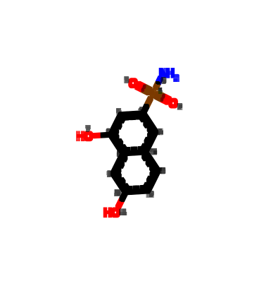 NS(=O)(=O)c1cc(O)c2cc(O)ccc2c1